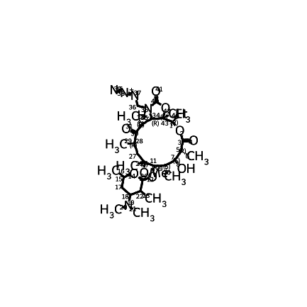 CC[C@H]1OC(=O)[C@H](C)[C@@H](O)[C@H](C)[C@@H](OC2OC(C)CC(N(C)C)C2C)[C@@](C)(OC)C[C@@H](C)C(=O)[C@H](C)[C@H]2N(CN=[N+]=[N-])C(=O)O[C@]12C